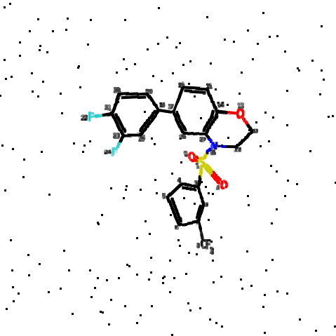 O=S(=O)(c1cccc(C(F)(F)F)c1)N1CCOc2ccc(-c3ccc(F)c(F)c3)cc21